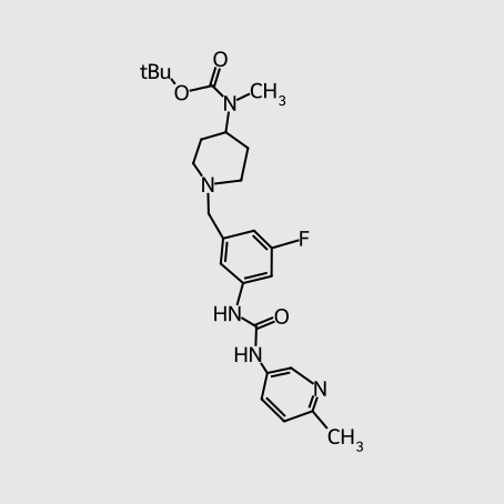 Cc1ccc(NC(=O)Nc2cc(F)cc(CN3CCC(N(C)C(=O)OC(C)(C)C)CC3)c2)cn1